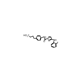 O=C(O)CCCc1ccc(NC(=O)n2ccc(Nc3ccccc3F)n2)cc1